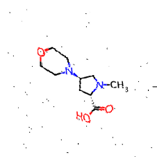 CN1C[C@H](N2CCOCC2)C[C@H]1C(=O)O